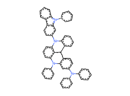 c1ccc(N(c2ccccc2)c2ccc3c(c2)N(c2ccccc2)c2cccc4c2C3c2ccccc2N4c2ccc3c4ccccc4n(-c4ccccc4)c3c2)cc1